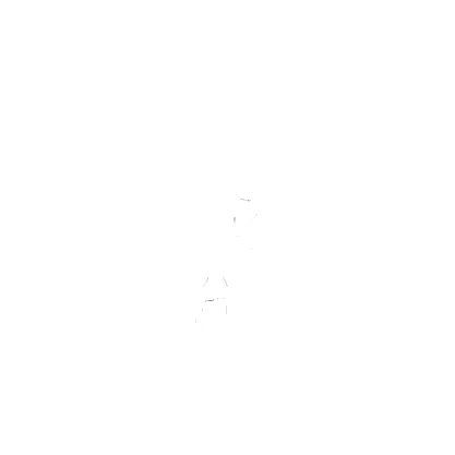 CCCC1CCC(c2ccc(OC(F)(F)CCc3c(C)cc(C4CO4)c(F)c3F)cc2)CC1